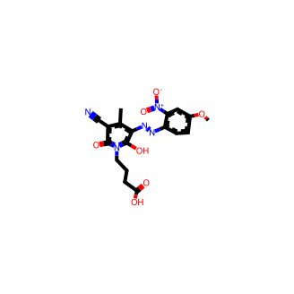 COc1ccc(N=Nc2c(C)c(C#N)c(=O)n(CCCC(=O)O)c2O)c([N+](=O)[O-])c1